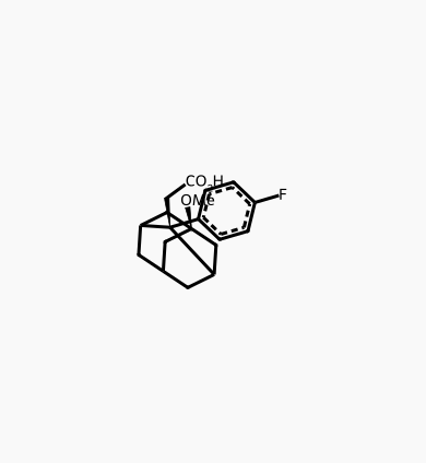 CO[C@]12CC3CC(C1)[C@@](CC(=O)O)(c1ccc(F)cc1)C(C3)C2